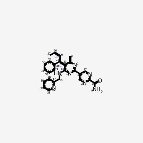 C=c1nc(-c2cnc(C(N)=O)nc2)nc(NCc2ccccn2)/c1=C(/C=C\C)c1ccccc1